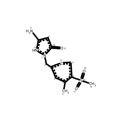 Cc1cc(Cn2[nH]c(N)cc2=O)ccc1S(C)(=O)=O